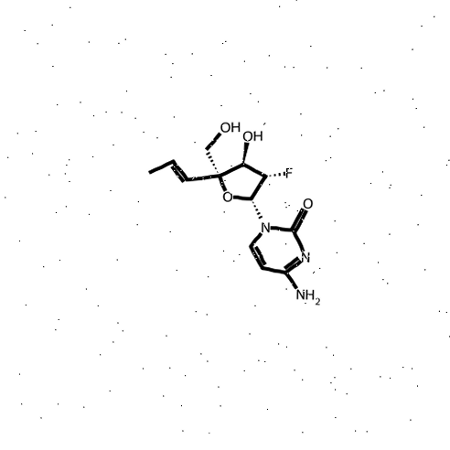 C/C=C/[C@]1(CO)O[C@@H](n2ccc(N)nc2=O)[C@@H](F)[C@@H]1O